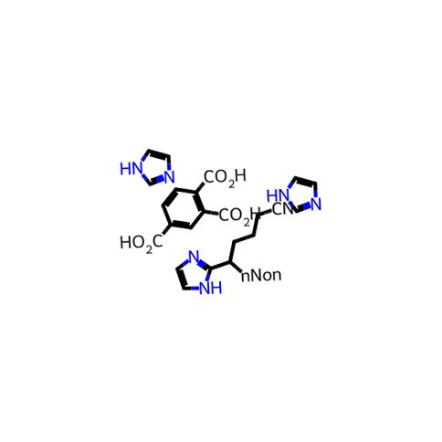 CCCCCCCCCC(CCCC#N)c1ncc[nH]1.O=C(O)c1ccc(C(=O)O)c(C(=O)O)c1.c1c[nH]cn1.c1c[nH]cn1